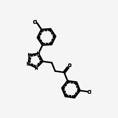 O=C(CCc1nnnn1-c1cccc(Cl)c1)c1cccc(Cl)c1